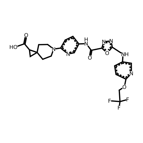 O=C(Nc1ccc(N2CCC3(CC2)CC3C(=O)O)nc1)c1nnc(Nc2ccc(OCC(F)(F)F)nc2)o1